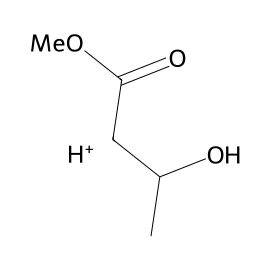 COC(=O)CC(C)O.[H+]